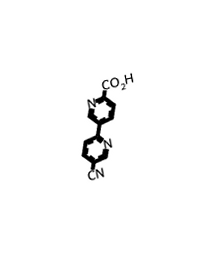 N#Cc1ccc(-c2ccc(C(=O)O)nc2)nc1